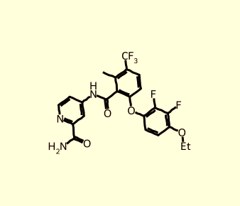 CCOc1ccc(Oc2ccc(C(F)(F)F)c(C)c2C(=O)Nc2ccnc(C(N)=O)c2)c(F)c1F